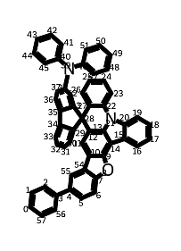 c1ccc(-c2ccc3oc4c(cc5c6c4c4ccccc4n6-c4ccccc4C54c5ccccc5-c5ccc(N(c6ccccc6)c6ccccc6)cc54)c3c2)cc1